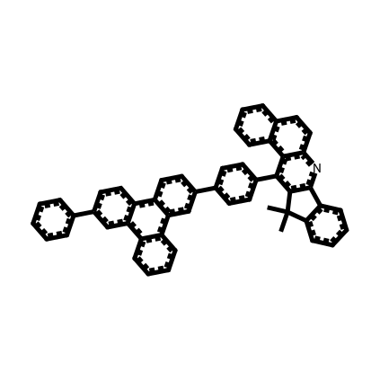 CC1(C)c2ccccc2-c2nc3ccc4ccccc4c3c(-c3ccc(-c4ccc5c6ccc(-c7ccccc7)cc6c6ccccc6c5c4)cc3)c21